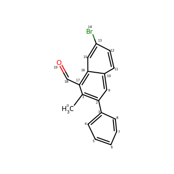 Cc1c(-c2ccccc2)cc2ccc(Br)cc2c1C=O